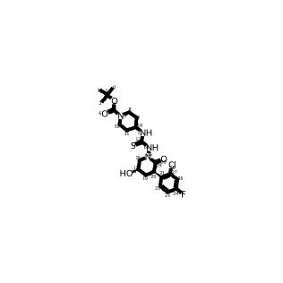 CC(C)(C)OC(=O)N1CCC(NC(=S)NN2C[C@H](O)C[C@H](c3ccc(F)cc3Cl)C2=O)CC1